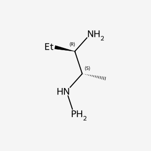 CC[C@@H](N)[C@H](C)NP